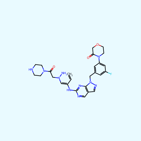 C=C/C(=C\N(N)CC(=O)N1CCNCC1)Nc1ncc2cnn(Cc3cc(F)cc(N4CCOCC4=O)c3)c2n1